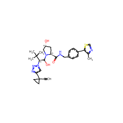 C#CC1(c2cn([C@H](C(O)N3C[C@H](O)C[C@H]3C(=O)NCc3ccc(-c4scnc4C)cc3)C(C)(C)C)nn2)CC1